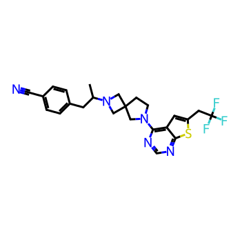 CC(Cc1ccc(C#N)cc1)N1CC2(CCN(c3ncnc4sc(CC(F)(F)F)cc34)C2)C1